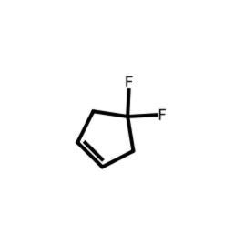 FC1(F)CC=CC1